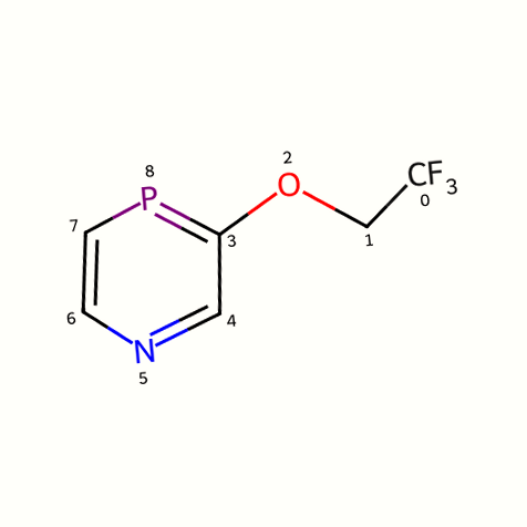 FC(F)(F)COc1cnccp1